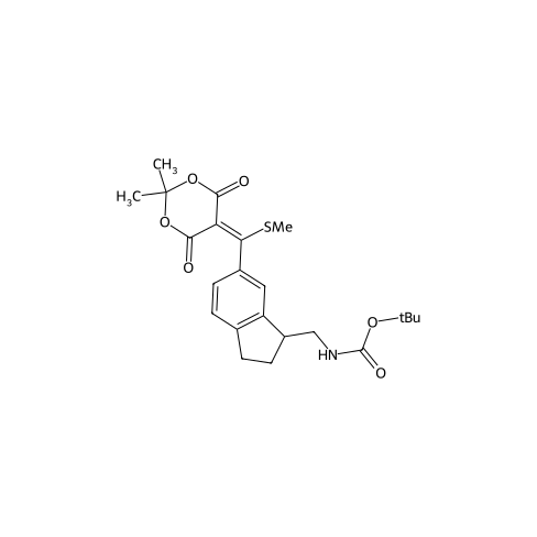 CSC(=C1C(=O)OC(C)(C)OC1=O)c1ccc2c(c1)C(CNC(=O)OC(C)(C)C)CC2